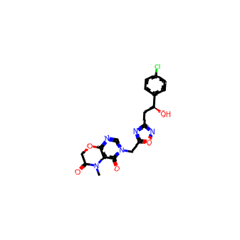 CN1C(=O)COc2ncn(Cc3nc(C[C@H](O)c4ccc(Cl)cc4)no3)c(=O)c21